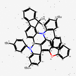 CC(C)(C)c1ccc(N2B3c4ccc5c(c4N(c4ccc(C(C)(C)C)cc4-c4ccccc4)c4cc6c(oc7ccccc76)c(c43)-c3ccc(C(C)(C)C)cc32)C(C)(C)c2ccccc2-5)cc1